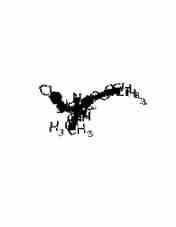 [C-]#[N+]c1c(NC(=O)CN(C)C)nc(SCc2csc(-c3ccc(Cl)cc3)n2)c(C#N)c1-c1ccc(OCCOC(=O)CN(C)C)cc1